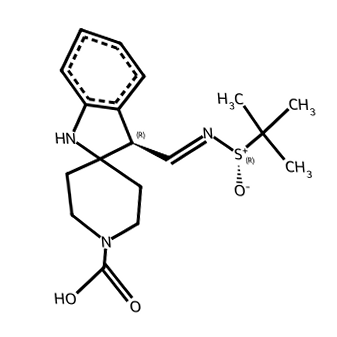 CC(C)(C)[S@+]([O-])N=C[C@@H]1c2ccccc2NC12CCN(C(=O)O)CC2